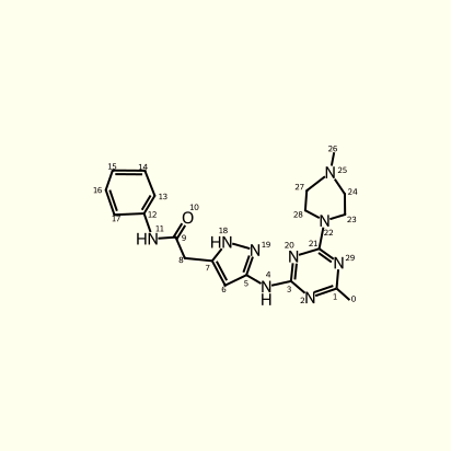 Cc1nc(Nc2cc(CC(=O)Nc3ccccc3)[nH]n2)nc(N2CCN(C)CC2)n1